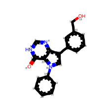 O=c1[nH]cnc2c(-c3cccc(CO)c3)cn(-c3ccccc3)c12